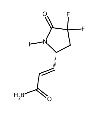 BC(=O)/C=C/[C@H]1CC(F)(F)C(=O)N1I